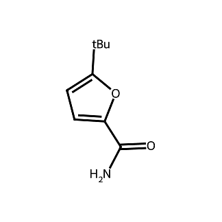 CC(C)(C)c1ccc(C(N)=O)o1